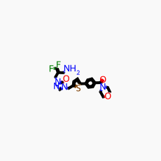 NCC(Cn1ncn(Cc2ccc(-c3ccc(C(=O)N4CCOCC4)cc3)s2)c1=O)=C(F)F